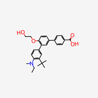 CCN(C)c1ccc(-c2cc(-c3ccc(C(=O)O)cc3)ccc2OCCO)cc1C(C)(C)C